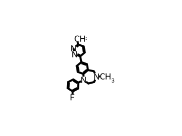 [CH]c1ccc(-c2ccc3c(c2)CN(C)CCN3c2cccc(F)c2)nn1